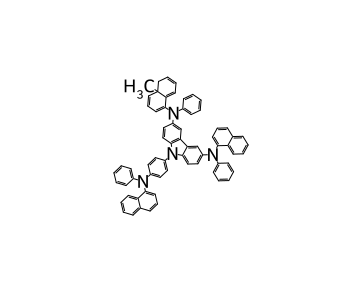 CC12C=CC=C(N(c3ccccc3)c3ccc4c(c3)c3cc(N(c5ccccc5)c5cccc6ccccc56)ccc3n4-c3ccc(N(c4ccccc4)c4cccc5ccccc45)cc3)C1=CC=CC2